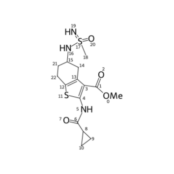 COC(=O)c1c(NC(=O)C2CC2)sc2c1CC(NS(C)(=N)=O)CC2